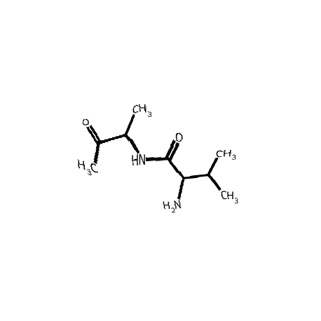 CC(=O)C(C)NC(=O)C(N)C(C)C